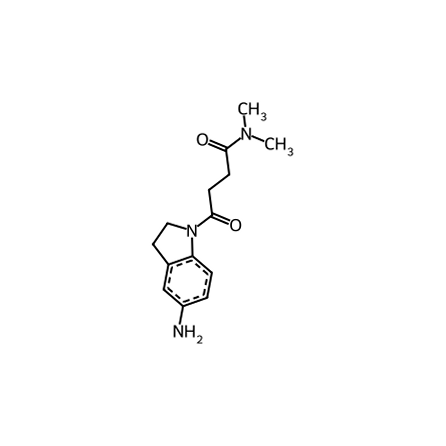 CN(C)C(=O)CCC(=O)N1CCc2cc(N)ccc21